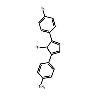 [2H]n1c(-c2ccc(N)cc2)ccc1-c1ccc(Br)cc1